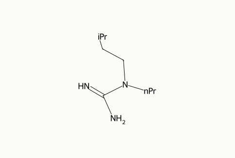 CCCN(CCC(C)C)C(=N)N